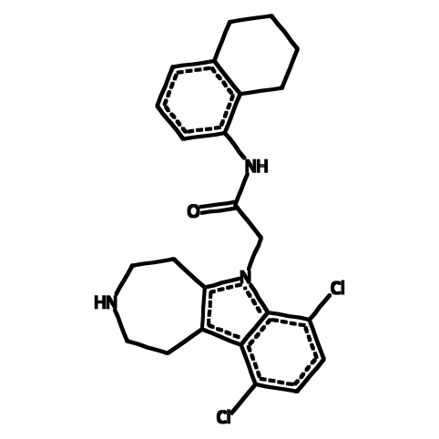 O=C(Cn1c2c(c3c(Cl)ccc(Cl)c31)CCNCC2)Nc1cccc2c1CCCC2